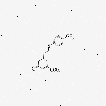 CC(=O)OC1=CC(=O)CC(CCSc2ccc(C(F)(F)F)cc2)C1